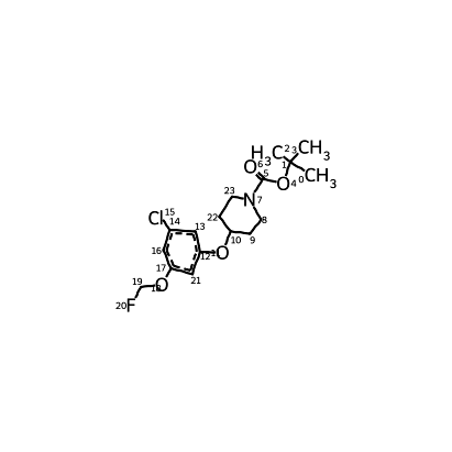 CC(C)(C)OC(=O)N1CCC(Oc2cc(Cl)cc(OCF)c2)CC1